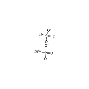 CCP(=O)([O-])[O-].CCP(=O)([O-])[O-].[Zr+4]